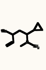 C=CC(CC(C1CC1)N(C)N)C(C)(C)C